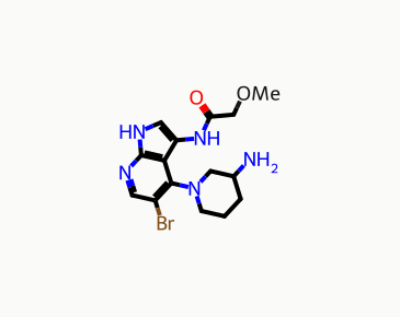 COCC(=O)Nc1c[nH]c2ncc(Br)c(N3CCCC(N)C3)c12